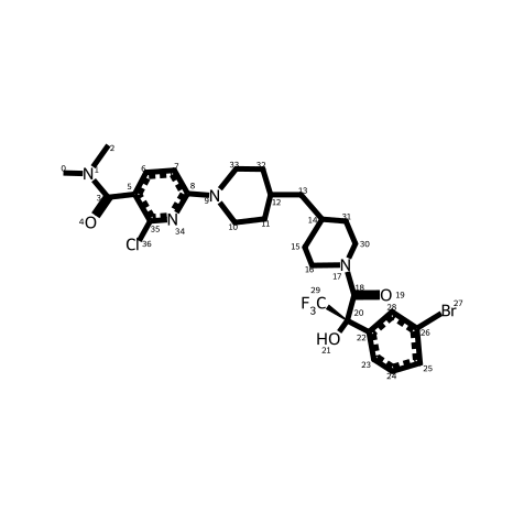 CN(C)C(=O)c1ccc(N2CCC(CC3CCN(C(=O)[C@@](O)(c4cccc(Br)c4)C(F)(F)F)CC3)CC2)nc1Cl